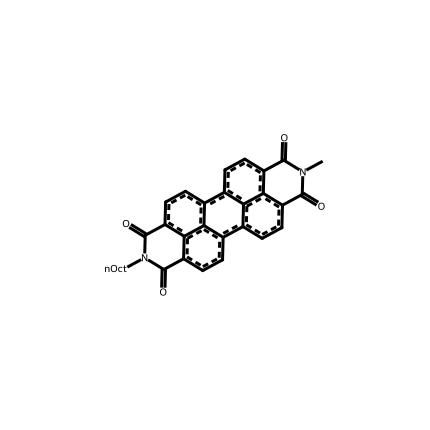 CCCCCCCCN1C(=O)c2ccc3c4ccc5c6c(ccc(c7ccc(c2c37)C1=O)c64)C(=O)N(C)C5=O